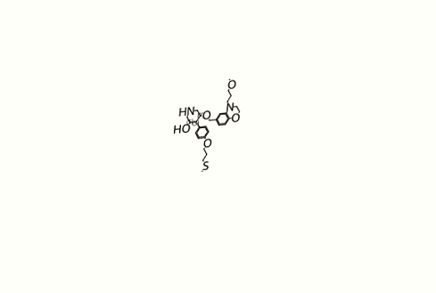 COCCCN1CCOc2ccc(CO[C@H]3CNC[C@@H](O)[C@@H]3c3ccc(OCCCSC)cc3)cc21